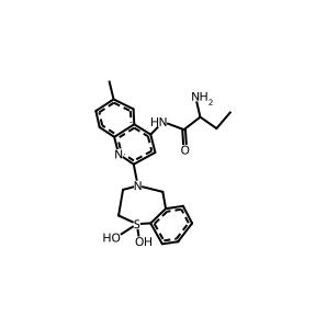 CCC(N)C(=O)Nc1cc(N2CCS(O)(O)c3ccccc3C2)nc2ccc(C)cc12